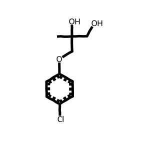 CC(O)(CO)COc1ccc(Cl)cc1